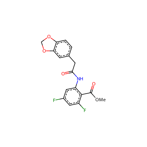 COC(=O)c1c(F)cc(F)cc1NC(=O)Cc1ccc2c(c1)OCO2